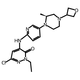 CCn1nc(Cl)cc(Nc2ccc(N3CCN(C4COC4)C[C@@H]3C)cn2)c1=O